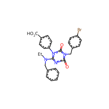 CCN(Cc1ccccc1)c1nc(=O)n(Cc2ccc(Br)cc2)c(=O)n1-c1ccc(C(=O)O)cc1